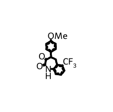 COc1ccc(C2Cc3c(cccc3C(F)(F)F)NC(=O)C2=O)cc1